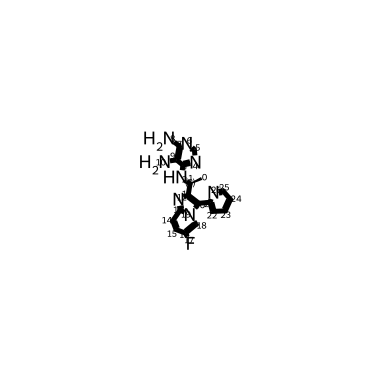 C[C@H](Nc1ncnc(N)c1N)c1nc2ccc(F)cn2c1-c1ccccn1